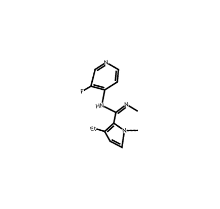 CCc1ccn(C)c1/C(=N\C)Nc1ccncc1F